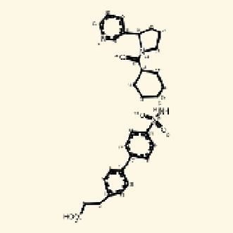 O=C(O)CCc1ccc(-c2ccc(S(=O)(=O)N[C@H]3CC[C@H](C(=O)N4CCCC4c4cccnc4)CC3)cc2)cc1